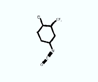 O=C=NC1CCC(Cl)C(C(F)(F)F)C1